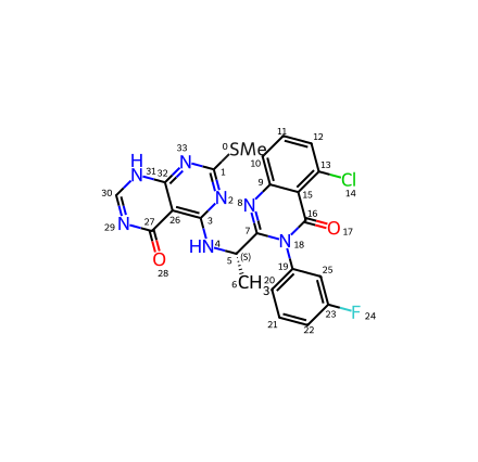 CSc1nc(N[C@@H](C)c2nc3cccc(Cl)c3c(=O)n2-c2cccc(F)c2)c2c(=O)nc[nH]c2n1